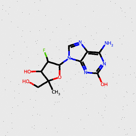 CC1(CO)OC(n2cnc3c(N)nc(O)nc32)C(F)C1O